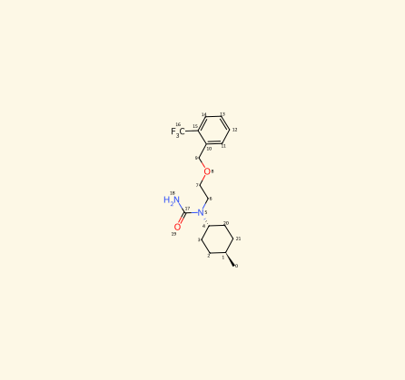 C[C@H]1CC[C@H](N(CCOCc2ccccc2C(F)(F)F)C(N)=O)CC1